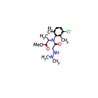 COC(=O)C(C)N(C(=O)CNN(C)C)c1c(C)ccc(Cl)c1C